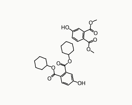 COC(=O)c1ccc(O)cc1C(=O)OC.O=C(OC1CCCCC1)c1ccc(O)cc1C(=O)OC1CCCCC1